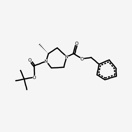 C[C@@H]1CN(C(=O)OCc2ccccc2)CCN1C(=O)OC(C)(C)C